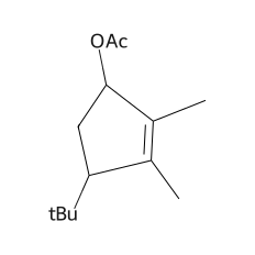 CC(=O)OC1CC(C(C)(C)C)C(C)=C1C